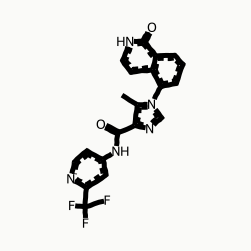 Cc1c(C(=O)Nc2ccnc(C(F)(F)F)c2)ncn1-c1cccc2c(=O)[nH]ccc12